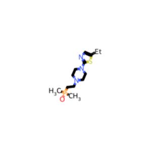 CCc1cnc(N2CCN(CCP(C)(C)=O)CC2)s1